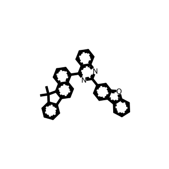 CC1(C)c2ccccc2-c2ccc3c(-c4nc(-c5ccc6c(c5)oc5ccccc56)nc5ccccc45)cccc3c21